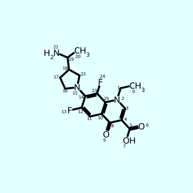 CCn1cc(C(=O)O)c(=O)c2cc(F)c(N3CCC(C(C)N)C3)c(F)c21